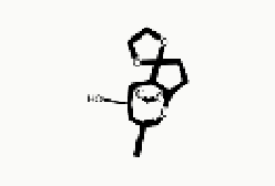 C/C1=C/CC23CCCC(C2C2(CC3)OCCO2)[C@H](O)C1